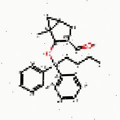 CCCC[Si](OC1[C@H](C=O)CC2CC21C)(c1ccccc1)c1ccccc1